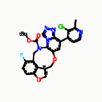 Cc1nccc(-c2cc3c(n4cnnc24)N(C(=O)OC(C)(C)C)Cc2c(F)ccc4c2[C@H](CO4)CO3)c1Cl